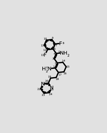 NC1=C(/C=C(\N)c2c(F)cccc2F)CCCC1CCc1ncccn1